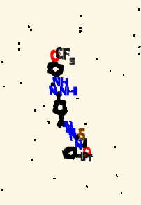 C/C(=N\N=C1/SCC(=O)N1c1ccccc1C(C)C)c1ccc(C(=N)/N=C\Nc2ccc(OC(F)(F)F)cc2)cc1